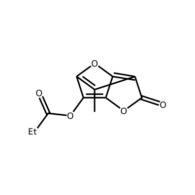 CCC(=O)Oc1c2c3oc1c(C)c3C(=O)O2